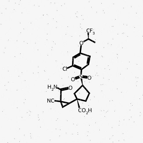 C[C@@H](Oc1ccc(S(=O)(=O)[C@H]2CC[C@](C(=O)O)(C3CC3(C#N)C(N)=O)C2)c(Cl)c1)C(F)(F)F